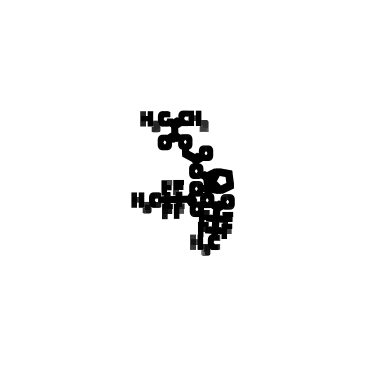 C=C(C)C(=O)OCC(=O)OC1C2CCC(C2)C1(OC(=O)C(F)(F)C(C)(F)F)OC(=O)C(F)(F)C(C)(F)F